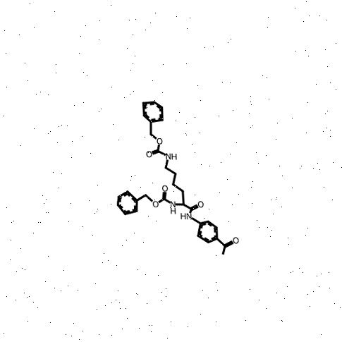 CC(=O)c1ccc(NC(=O)C(CCCCNC(=O)OCc2ccccc2)NC(=O)OCc2ccccc2)cc1